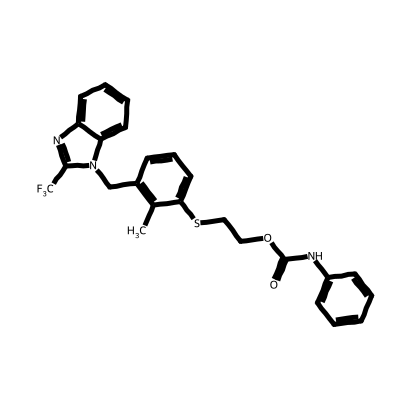 Cc1c(Cn2c(C(F)(F)F)nc3ccccc32)cccc1SCCOC(=O)Nc1ccccc1